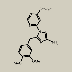 CCCOc1cc(-n2nc(N)nc2Cc2ccc(OC)c(OC)c2)ncn1